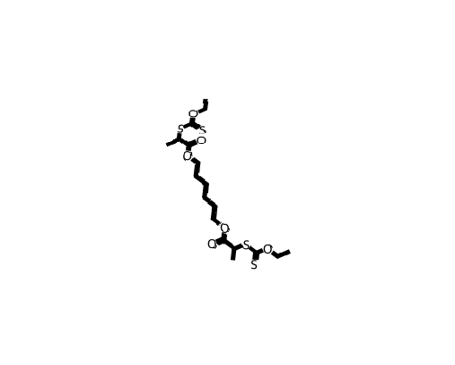 CCOC(=S)SC(C)C(=O)OCCCCCCOC(=O)C(C)SC(=S)OCC